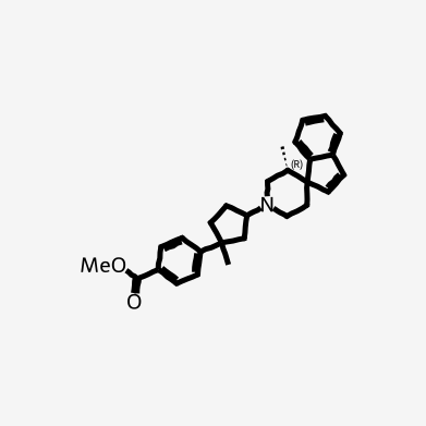 COC(=O)c1ccc(C2(C)CCC(N3CCC4(C=Cc5ccccc54)[C@@H](C)C3)C2)cc1